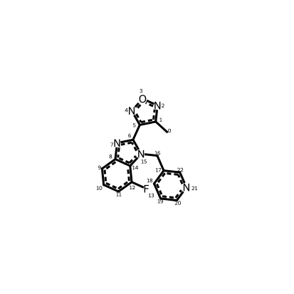 Cc1nonc1-c1nc2cccc(F)c2n1Cc1cccnc1